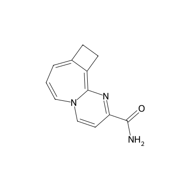 NC(=O)C1=NC2=C3CCC3=CC=CN2C=C1